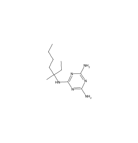 CCCCC(C)(CC)Nc1nc(N)nc(N)n1